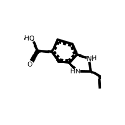 CCC1Nc2ccc(C(=O)O)cc2N1